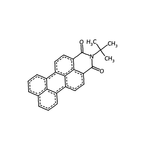 CC(C)(C)N1C(=O)c2ccc3c4cccc5cccc(c6ccc(c2c36)C1=O)c54